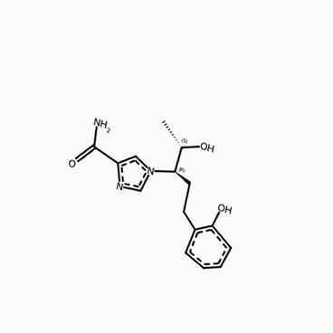 C[C@H](O)[C@@H](CCc1ccccc1O)n1cnc(C(N)=O)c1